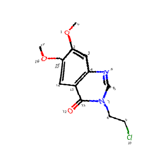 COc1cc2ncn(CCCl)c(=O)c2cc1OC